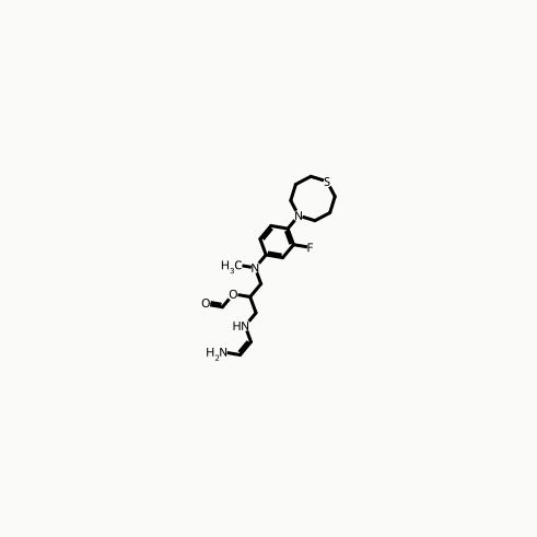 CN(CC(CN/C=C\N)OC=O)c1ccc(N2CCCSCCC2)c(F)c1